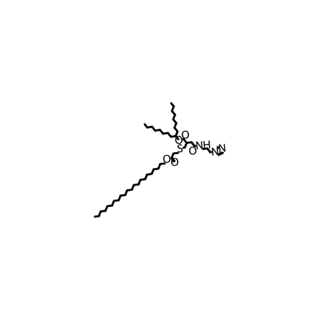 CCCCCCCCCCCCCCCCCCCCCCOC(=O)CCSCC(CC(=O)NCCCn1ccnc1)C(=O)OC(CCCCCCCC)CCCCCCCC